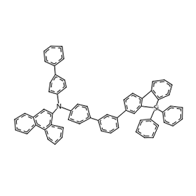 c1ccc(-c2ccc(N(c3ccc(-c4cccc(-c5ccc6c(c5)[Si](c5ccccc5)(c5ccccc5)c5ccccc5-6)c4)cc3)c3cc4ccccc4c4ccccc34)cc2)cc1